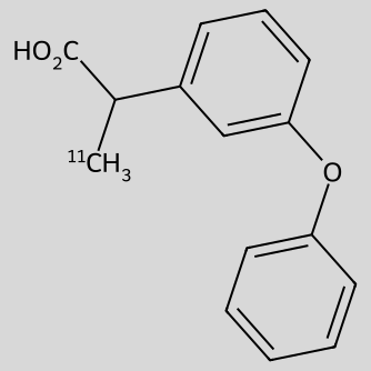 [11CH3]C(C(=O)O)c1cccc(Oc2ccccc2)c1